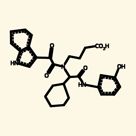 O=C(O)CCCN(C(=O)C(=O)c1c[nH]c2ccccc12)C(C(=O)Nc1cccc(O)c1)C1CCCCC1